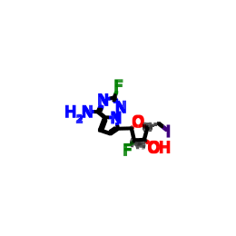 Nc1nc(F)nn2c(C3O[C@H](CI)[C@@H](O)[C@H]3F)ccc12